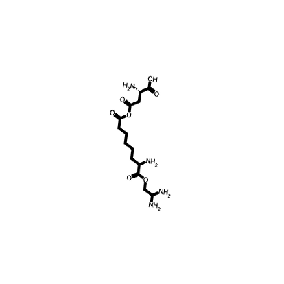 NC(N)COC(=O)C(N)CCCCCC(=O)OC(=O)C[C@H](N)C(=O)O